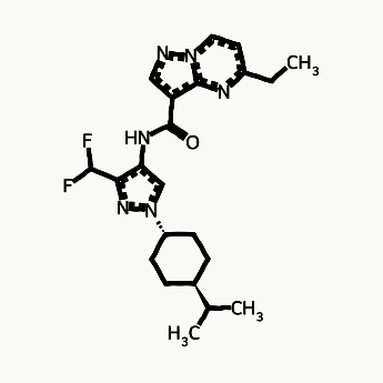 CCc1ccn2ncc(C(=O)Nc3cn([C@H]4CC[C@H](C(C)C)CC4)nc3C(F)F)c2n1